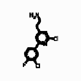 NCCc1cc(Cl)nc(-c2ccc(F)c(Cl)c2)c1